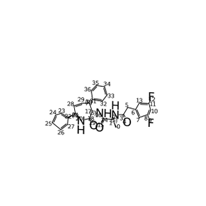 C[C@H](NC(=O)Cc1cc(F)cc(F)c1)C(=O)N[C@@H]1C(=O)N[C@@H](c2ccccc2)C=C[C@@H]1c1ccccc1